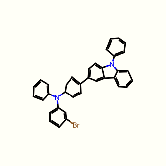 Brc1cccc(N(c2ccccc2)C2C=CC(c3ccc4c(c3)c3ccccc3n4-c3ccccc3)=CC2)c1